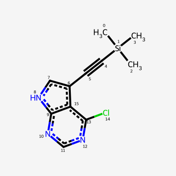 C[Si](C)(C)C#Cc1c[nH]c2ncnc(Cl)c12